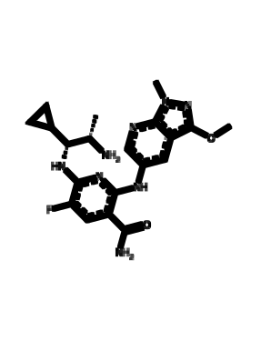 COc1nn(C)c2ncc(Nc3nc(N[C@H](C4CC4)[C@H](C)N)c(F)cc3C(N)=O)cc12